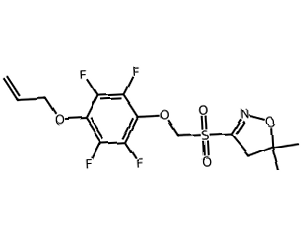 C=CCOc1c(F)c(F)c(OCS(=O)(=O)C2=NOC(C)(C)C2)c(F)c1F